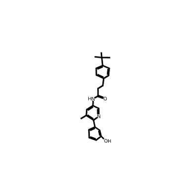 Cc1cc(NC(=O)CCc2ccc(C(C)(C)C)cc2)cnc1-c1cccc(O)c1